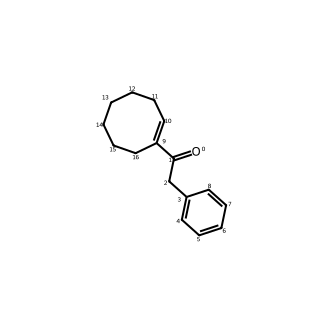 O=C(Cc1ccccc1)C1=CCCCCCC1